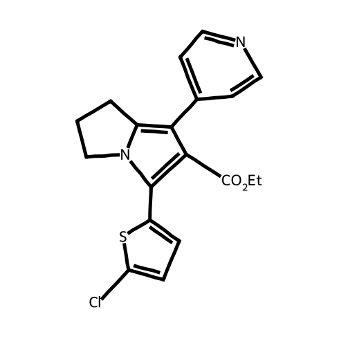 CCOC(=O)c1c(-c2ccncc2)c2n(c1-c1ccc(Cl)s1)CCC2